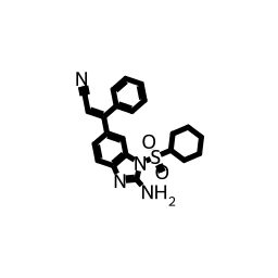 N#C/C=C(\c1ccccc1)c1ccc2nc(N)n(S(=O)(=O)C3CCCCC3)c2c1